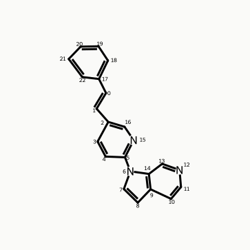 C(=Cc1ccc(-n2ccc3ccncc32)nc1)c1ccccc1